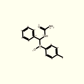 Cc1ccc([S+]([O-])C(NC(N)=O)c2ccccc2)cc1